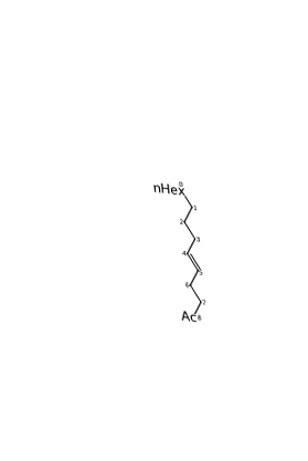 CCCCCCCCCC=CCCC(C)=O